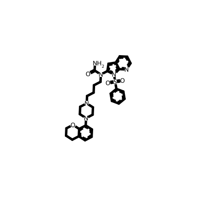 NC(=O)N(CCCCN1CCN(c2cccc3c2OCCC3)CC1)c1cc2cccnc2n1S(=O)(=O)c1ccccc1